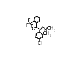 CN(C)/C=C(/C(=O)c1ccccc1C(F)(F)F)c1ccc(Cl)cc1